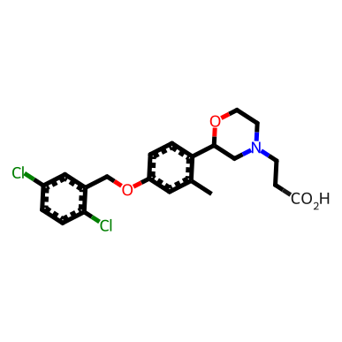 Cc1cc(OCc2cc(Cl)ccc2Cl)ccc1C1CN(CCC(=O)O)CCO1